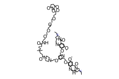 C/C=C1\CC2C=Nc3cc(OCc4cc(OCCN5CCN(C(=O)CCC(C)(C)SCC(=O)NCCOCCOCCOCCOCCC(=O)ON6C(=O)CCC6=O)CC5)cc(COc5cc6c(cc5OC)C(=O)N5C/C(=C/C)C[C@H]5C=N6)n4)c(OC)cc3C(=O)N2C1